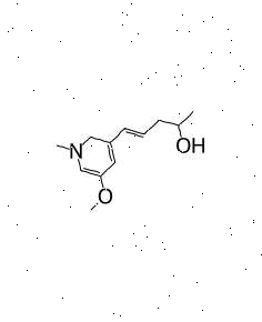 COC1=CN(C)CC(C=CCC(C)O)=C1